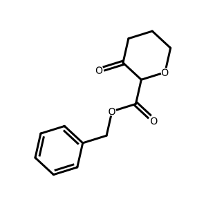 O=C1CCCOC1C(=O)OCc1ccccc1